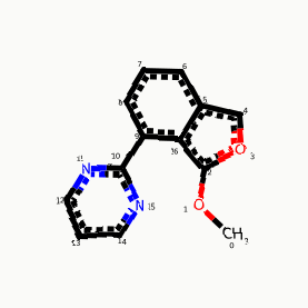 COc1o[c]c2cccc(-c3ncccn3)c12